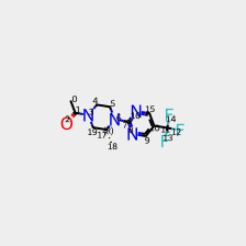 CC(=O)N1CCN(c2ncc(C(F)(F)F)cn2)[C@H](C)C1